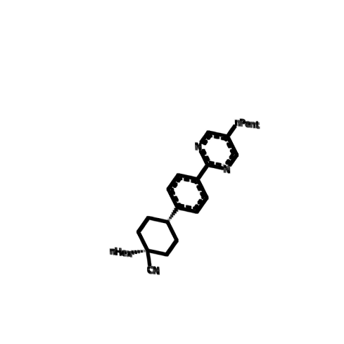 CCCCCC[C@]1(C#N)CC[C@H](c2ccc(-c3ncc(CCCCC)cn3)cc2)CC1